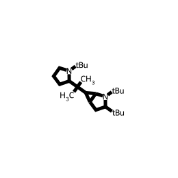 CC(C)(C)C1CC2C(C2C(C)(C)C2CCCN2C(C)(C)C)N1C(C)(C)C